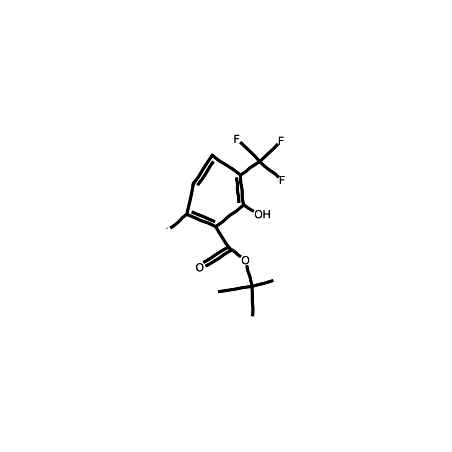 [CH2]c1ccc(C(F)(F)F)c(O)c1C(=O)OC(C)(C)C